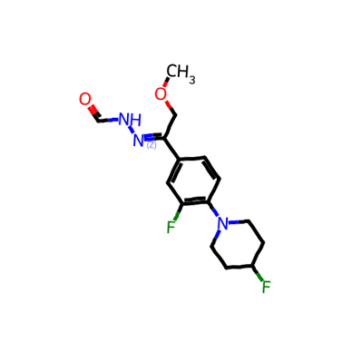 COC/C(=N\NC=O)c1ccc(N2CCC(F)CC2)c(F)c1